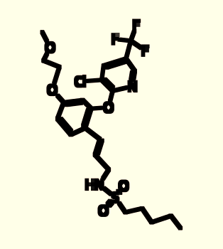 CCCCCS(=O)(=O)NC/C=C/c1ccc(OCCOC)cc1Oc1ncc(C(F)(F)F)cc1Cl